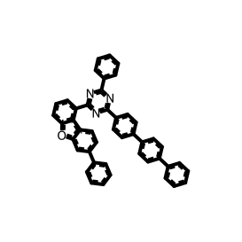 c1ccc(-c2ccc(-c3ccc(-c4nc(-c5ccccc5)nc(-c5cccc6oc7cc(-c8ccccc8)ccc7c56)n4)cc3)cc2)cc1